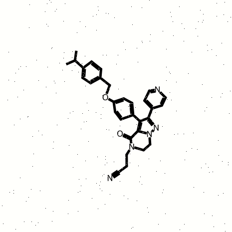 CC(C)c1ccc(COc2ccc(-c3c(-c4ccncc4)nn4c3C(=O)N(CCC#N)CC4)cc2)cc1